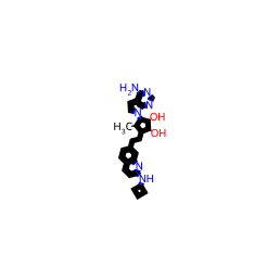 C[C@H]1C(CCc2ccc3ccc(NC4CCC4)nc3c2)[C@@H](O)[C@@H](O)C1n1ccc2c(N)ncnc21